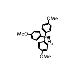 COc1ccc([PH](C)(c2ccc(OC)cc2)c2ccc(OC)cc2)cc1